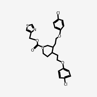 O=C(OCc1cscn1)N1CCC(CCOc2ccc(Cl)cc2)C(CCOc2ccc(Cl)cc2)C1